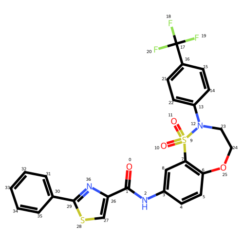 O=C(Nc1ccc2c(c1)S(=O)(=O)N(c1ccc(C(F)(F)F)cc1)CCO2)c1csc(-c2ccccc2)n1